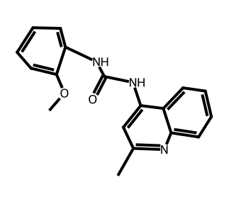 COc1ccccc1NC(=O)Nc1cc(C)nc2ccccc12